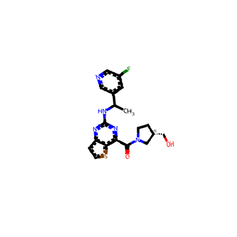 CC(Nc1nc(C(=O)N2CC[C@H](CO)C2)c2sccc2n1)c1cncc(F)c1